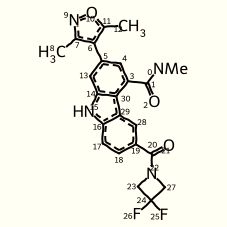 CNC(=O)c1cc(-c2c(C)noc2C)cc2[nH]c3ccc(C(=O)N4CC(F)(F)C4)cc3c12